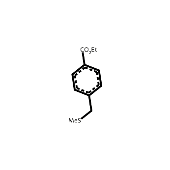 CCOC(=O)c1ccc(CSC)cc1